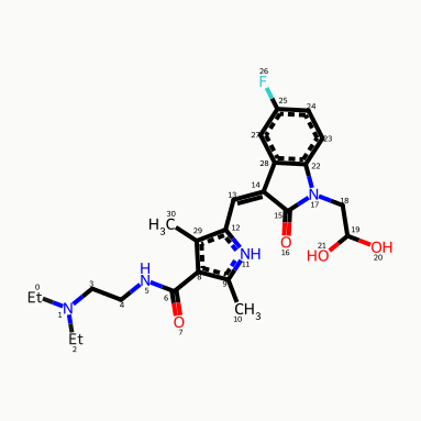 CCN(CC)CCNC(=O)c1c(C)[nH]c(/C=C2\C(=O)N(CC(O)O)c3ccc(F)cc32)c1C